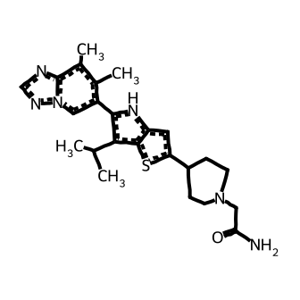 Cc1c(-c2[nH]c3cc(C4CCN(CC(N)=O)CC4)sc3c2C(C)C)cn2ncnc2c1C